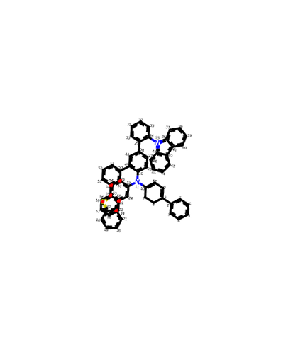 C1=C(c2ccccc2)CCC(N(c2ccc3sc4ccccc4c3c2)c2ccc(-c3ccccc3-n3c4ccccc4c4ccccc43)cc2-c2cccc(-c3ccccc3)c2)=C1